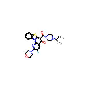 CC(C)N1CCN(C(=O)c2c(=O)c3cc(F)c(N4CCOCC4)nc3n3c2sc2ccccc23)CC1